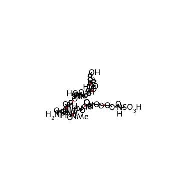 CN[C@H](CCCCNC(=O)COC1CCCCCc2c1nnn2CCOCCOCCOCCOCCC(=O)NCCS(=O)(=O)O)C(=O)N[C@H](C(=O)N[C@@H](CCCNC(N)=O)C(=O)Nc1ccc(COC(=O)N[C@@H](CO)C(=O)Nc2ccc3c(c2)[C@@]2(C)CCC[C@](C)(C(=O)NC(=O)[C@@]4(C)CCC[C@]5(C)c6cc(O)ccc6CC[C@@H]45)[C@@H]2CC3)cc1)C(C)C